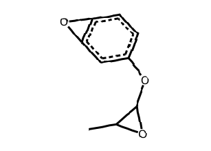 CC1OC1Oc1ccc2c(c1)O2